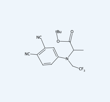 CC(C(=O)OC(C)(C)C)N(CC(F)(F)F)c1ccc(C#N)c(C#N)c1